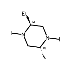 CC[C@H]1CN(I)[C@H](C)CN1I